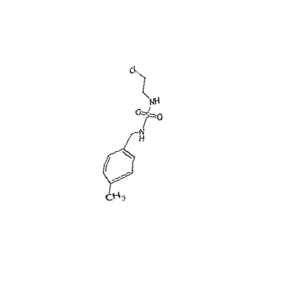 Cc1ccc(CNS(=O)(=O)NCCCl)cc1